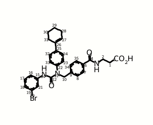 O=C(O)CCNC(=O)c1ccc(CN(C(=O)Nc2cccc(Br)c2)c2ccc(C3=CCCCC3)cc2)cc1